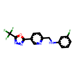 Fc1cccc(NCc2ccc(-c3nnc(C(F)(F)F)o3)cn2)c1